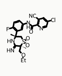 CCOC[C@@]1(C)C(=N)N[C@](C)(c2cc(NC(=O)c3ncc(Cl)cc3C#N)ccc2F)CS1(=O)=O